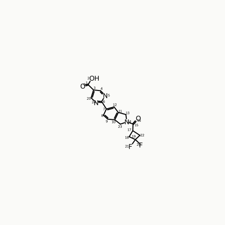 O=C(O)c1cnc(-c2ccc3c(c2)CN(C(=O)C2CC(F)(F)C2)C3)nc1